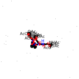 CC(=O)NC1C(OC(C)=O)[C@@H](OC(C)=O)C(COC(C)=O)O[C@H]1OCCCCC(=O)NCCCN(CCCN(CCCNC(=O)CCCCO[C@@H]1OC(COC(C)=O)[C@H](OC(C)=O)C(OC(C)=O)C1NC(C)=O)C(c1ccccc1)(c1ccccc1)c1ccccc1)C(=O)CCCCO[C@@H]1OC(COC(C)=O)[C@H](OC(C)=O)C(OC(C)=O)[C@@H]1NC(C)=O